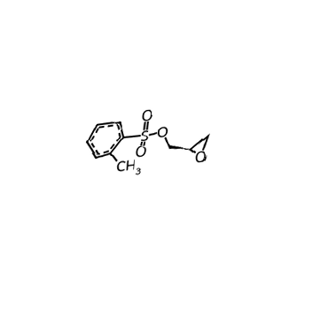 Cc1ccccc1S(=O)(=O)OC[C@H]1CO1